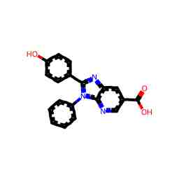 O=C(O)c1cnc2c(c1)nc(-c1ccc(O)cc1)n2-c1ccccc1